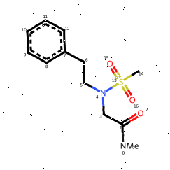 [CH2]NC(=O)CN(CCc1ccccc1)S(C)(=O)=O